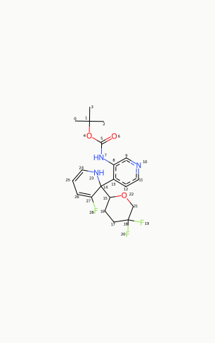 CC(C)(C)OC(=O)Nc1cnccc1C1(C2CCC(F)(F)CO2)NC=CC=C1F